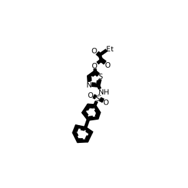 CCC(=O)C(=O)Oc1cnc(NS(=O)(=O)c2ccc(-c3ccccc3)cc2)s1